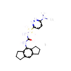 CN(C)c1ccc(S(=O)(=O)NC(=O)Nc2c3c(cc4c2CCC4)CCC3)nn1.[K]